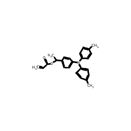 C=CC(=O)OC(C)c1ccc(N(c2ccc(C)cc2)c2ccc(C)cc2)cc1